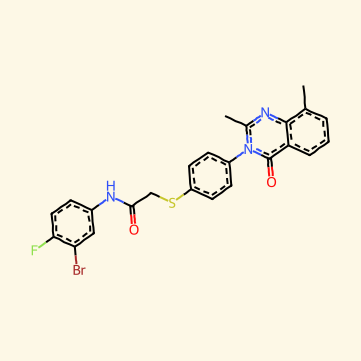 Cc1cccc2c(=O)n(-c3ccc(SCC(=O)Nc4ccc(F)c(Br)c4)cc3)c(C)nc12